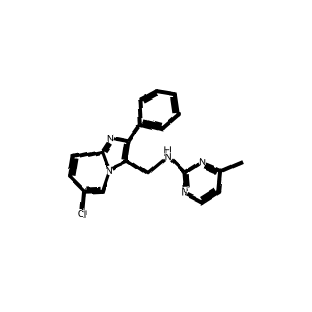 Cc1ccnc(NCc2c(-c3ccccc3)nc3ccc(Cl)cn23)n1